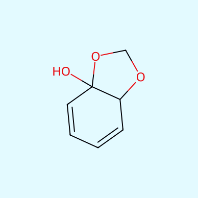 OC12C=CC=CC1OCO2